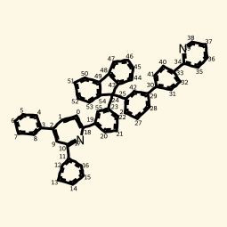 C1=CC(c2ccccc2)=CC(c2ccccc2)=NC=1c1cccc(C2(c3cccc(-c4ccc(-c5ccccn5)cc4)c3)c3ccccc3-c3ccccc32)c1